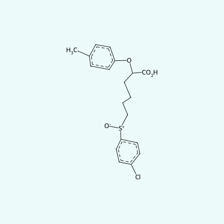 Cc1ccc(OC(CCCC[S+]([O-])c2ccc(Cl)cc2)C(=O)O)cc1